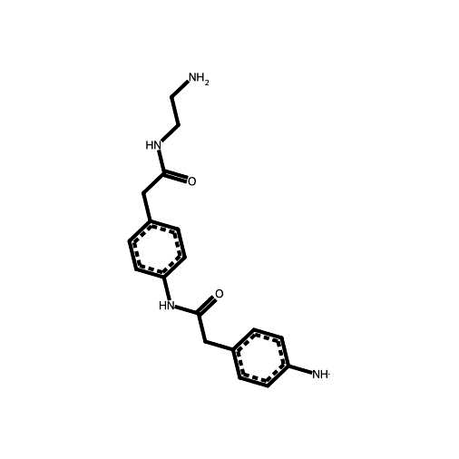 [NH]c1ccc(CC(=O)Nc2ccc(CC(=O)NCCN)cc2)cc1